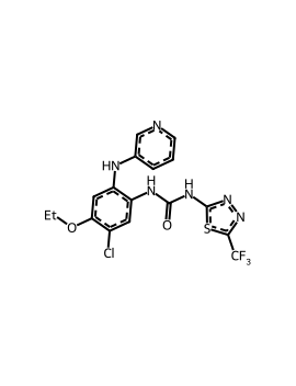 CCOc1cc(Nc2cccnc2)c(NC(=O)Nc2nnc(C(F)(F)F)s2)cc1Cl